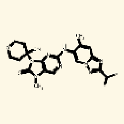 Cc1cc2nc(C(F)F)nn2cc1Nc1ncc2c(n1)n(C1(C#N)CCOCC1)c(=O)n2C